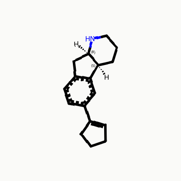 C1=C(c2ccc3c(c2)[C@@H]2CCCN[C@@H]2C3)CCC1